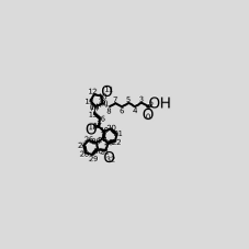 O=C(O)CCCCCC[C@H]1C(=O)CC[C@@H]1C=CC(=O)c1cccc2c1-c1ccccc1C2=O